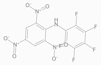 O=[N+]([O-])c1cc([N+](=O)[O-])c(Nc2c(F)c(F)c(F)c(F)c2F)c([N+](=O)[O-])c1